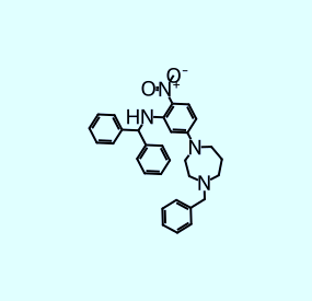 O=[N+]([O-])c1ccc(N2CCCN(Cc3ccccc3)CC2)cc1NC(c1ccccc1)c1ccccc1